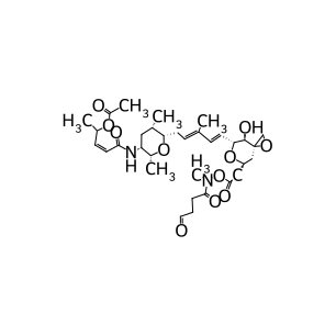 CC(=O)OC(C)/C=C\C(=O)N[C@@H]1C[C@H](C)[C@H](C/C=C(C)/C=C/[C@H]2O[C@H](CC(=O)ON(C)C(=O)CCC=O)C[C@@]3(CO3)[C@@H]2O)O[C@@H]1C